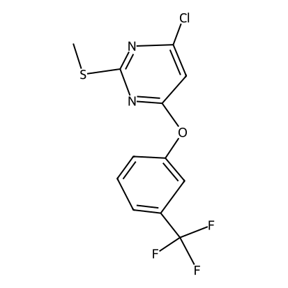 CSc1nc(Cl)cc(Oc2cccc(C(F)(F)F)c2)n1